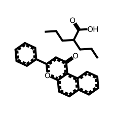 CCCC(CCC)C(=O)O.O=c1cc(-c2ccccc2)oc2ccc3ccccc3c12